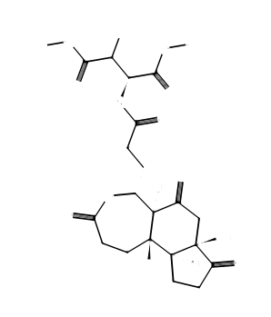 COC(=O)C(C)[C@H](NC(=O)CC[C@H]1OC(=O)CC[C@@H]2[C@@H]1C(=O)C[C@]1(C)C(=O)CC[C@@H]21)C(=O)OC